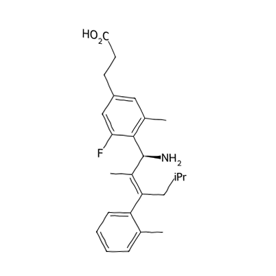 C/C(=C(/CC(C)C)c1ccccc1C)[C@H](N)c1c(C)cc(CCC(=O)O)cc1F